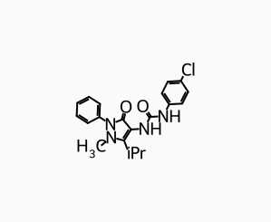 CC(C)c1c(NC(=O)Nc2ccc(Cl)cc2)c(=O)n(-c2ccccc2)n1C